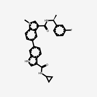 C[C@H](NC(=O)c1cn(C)c2ccc(-c3ccc4c(C(=O)NC5CC5)c[nH]c4c3)cc12)c1cccc(F)c1